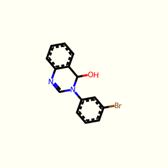 OC1c2ccccc2N=CN1c1cccc(Br)c1